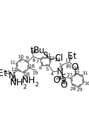 CC[C@@H]1CN(Cc2cc(C(c3ccc(N(N)CC)c(N)c3C)C(C)(C)C)sc2Cl)S(=O)(=O)c2ccccc2O1